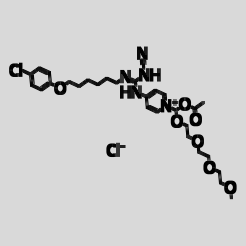 COCCOCCOCCOC(OC(C)=O)[n+]1ccc(N/C(=N\CCCCCCOc2ccc(Cl)cc2)NC#N)cc1.[Cl-]